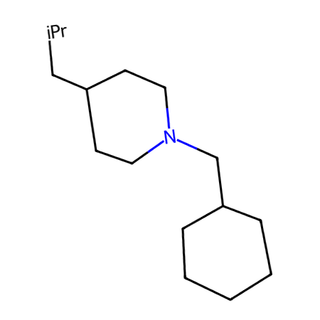 CC(C)CC1CCN(CC2CCCCC2)CC1